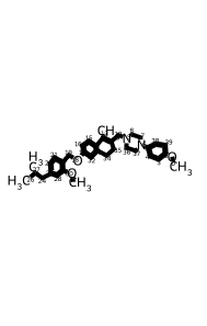 COc1ccc(N2CCN(CC3=C(C)c4ccc(OCc5ccc(CC(C)C)cc5OC)cc4CC3)CC2)cc1